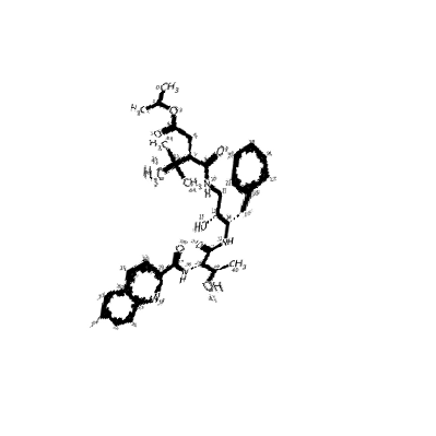 CC(C)OC(=O)C[C@@H](C(=O)NC[C@@H](O)[C@H](Cc1ccccc1)NC(=O)[C@@H](NC(=O)c1ccc2ccccc2n1)[C@@H](C)O)C(C)(C)C